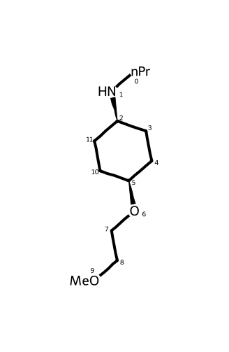 CCCN[C@H]1CC[C@@H](OCCOC)CC1